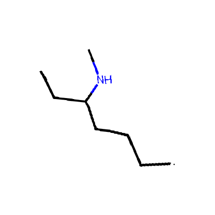 [CH2]CCCC(CC)NC